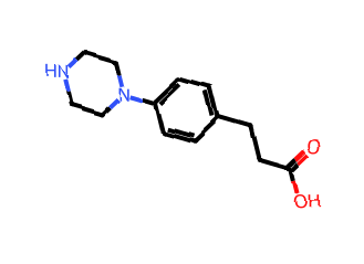 O=C(O)CCc1ccc(N2CCNCC2)cc1